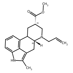 C=CCN1C[C@@H](C(=O)OC)CC2c3cccc4[nH]c(C)c(c34)C[C@H]21